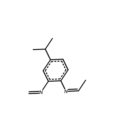 C=Nc1cc(C(C)C)ccc1/N=C\C